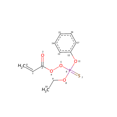 C=CC(=O)OOP(=S)(OCC)Oc1ccccc1